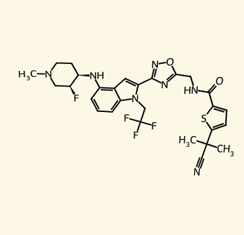 CN1CC[C@@H](Nc2cccc3c2cc(-c2noc(CNC(=O)c4ccc(C(C)(C)C#N)s4)n2)n3CC(F)(F)F)[C@@H](F)C1